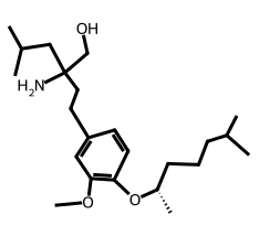 COc1cc(CCC(N)(CO)CC(C)C)ccc1O[C@@H](C)CCCC(C)C